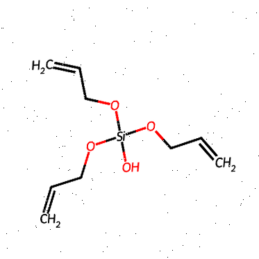 C=CCO[Si](O)(OCC=C)OCC=C